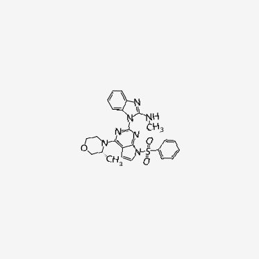 CNc1nc2ccccc2n1-c1nc(N2CCOC[C@H]2C)c2ccn(S(=O)(=O)c3ccccc3)c2n1